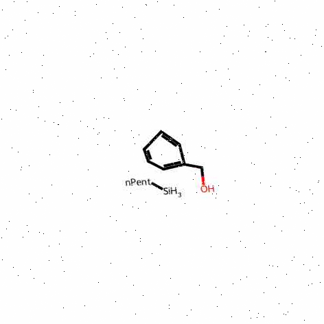 CCCCC[SiH3].OCc1ccccc1